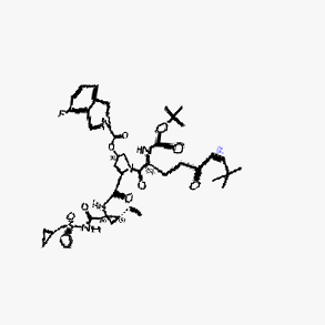 C=C[C@@H]1C[C@]1(NC(=O)C1C[C@@H](OC(=O)N2Cc3cccc(F)c3C2)CN1C(=O)[C@H](CCC(=O)/C=C\C(C)(C)C)NC(=O)OC(C)(C)C)C(=O)NS(=O)(=O)C1CC1